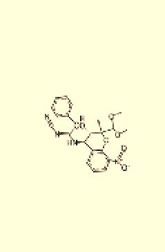 COC(OC)C1(C)Oc2c(cccc2[N+](=O)[O-])[C@@H](N/C(=N/C#N)Oc2ccccc2)[C@@H]1O